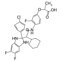 CC(Oc1ccc(NC(=O)C(C2CCCCC2)C2(c3ccc(Cl)cc3)Nc3cc(F)c(F)cc3N2)c(F)c1)C(=O)O